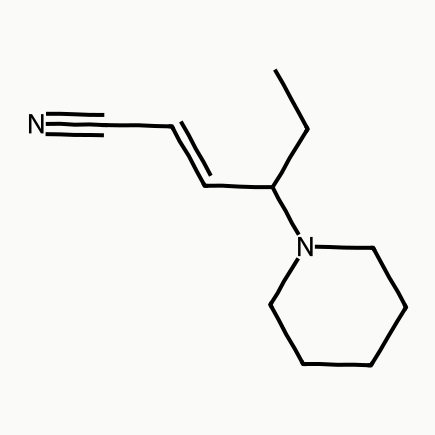 CCC(C=CC#N)N1CCCCC1